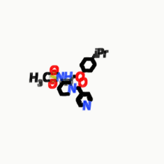 CC(C)[C@H]1CC[C@@H](OC[C@H]2[C@@H](NS(C)(=O)=O)CCCN2C(=O)c2ccncc2)CC1